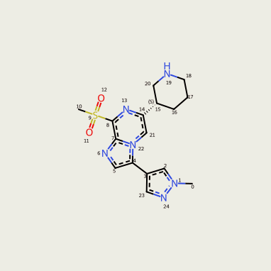 Cn1cc(-c2cnc3c(S(C)(=O)=O)nc([C@H]4CCCNC4)cn23)cn1